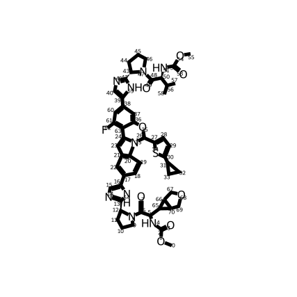 COC(=O)NC(C(=O)N1CCC[C@H]1c1ncc(-c2ccc3c(c2)cc2n3C(c3ccc(C4CC4)s3)Oc3cc(-c4cnc([C@@H]5CCCN5C(=O)[C@@H](NC(=O)OC)C(C)C)[nH]4)cc(F)c3-2)[nH]1)C1C2COCC21